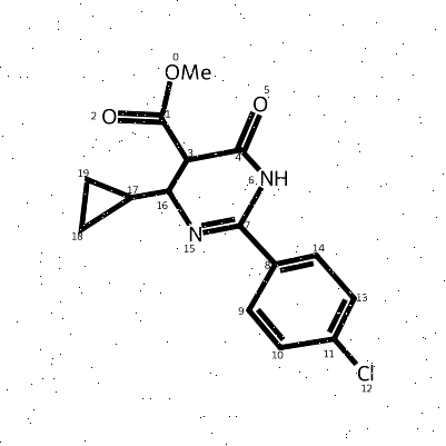 COC(=O)C1C(=O)NC(c2ccc(Cl)cc2)=NC1C1CC1